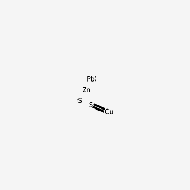 [Pb].[S].[S]=[Cu].[Zn]